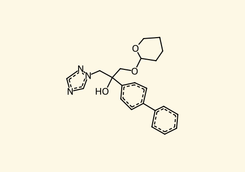 OC(COC1CCCCO1)(Cn1cncn1)c1ccc(-c2ccccc2)cc1